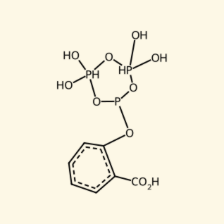 O=C(O)c1ccccc1OP1O[PH](O)(O)O[PH](O)(O)O1